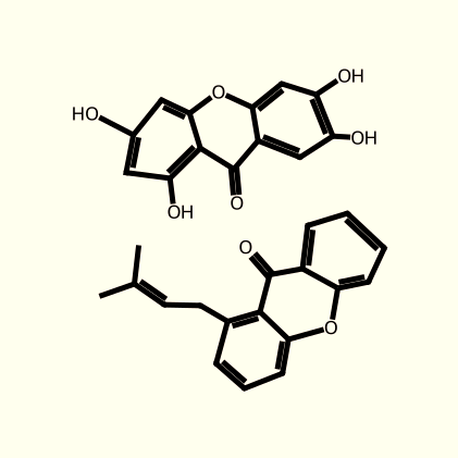 CC(C)=CCc1cccc2oc3ccccc3c(=O)c12.O=c1c2cc(O)c(O)cc2oc2cc(O)cc(O)c12